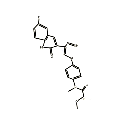 CO[C@@H](C)C(=O)N(C)c1ccc(N/C=C(\N=N)c2cc3cc(F)ccc3[nH]c2=O)cc1